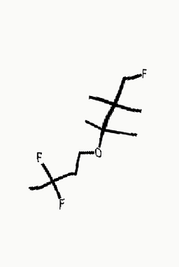 CC(F)(F)CCOC(C)(C)C(C)(C)CF